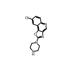 Clc1ccc2ncc3nc(N4CCNCC4)oc3c2c1